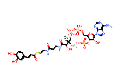 CC(C)(COP(=O)(O)OP(=O)(O)OC[C@H]1O[C@@H](n2cnc3c(N)ncnc32)[C@H](O)[C@@H]1OP(=O)(O)O)[C@@H](O)C(=O)NCCC(=O)NCCSC(=O)/C=C/c1ccc(O)c(O)c1